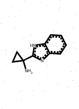 NC1(c2nc3ccccc3[nH]2)CC1